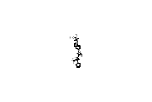 CC(C)(Cn1ccc2cc(-n3cnc(-c4cc(-c5ccccc5)c(C(F)(F)F)s4)c3)ccc21)C(=O)O